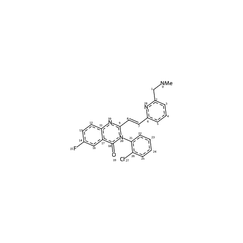 CNCc1cccc(C=Cc2nc3ccc(F)cc3c(=O)n2-c2ccccc2Cl)n1